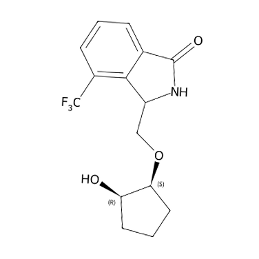 O=C1NC(CO[C@H]2CCC[C@H]2O)c2c1cccc2C(F)(F)F